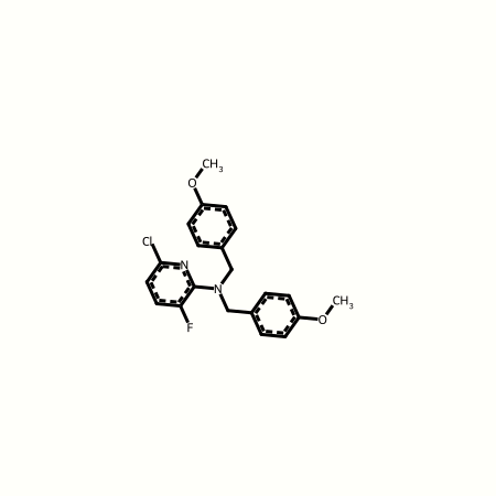 COc1ccc(CN(Cc2ccc(OC)cc2)c2nc(Cl)ccc2F)cc1